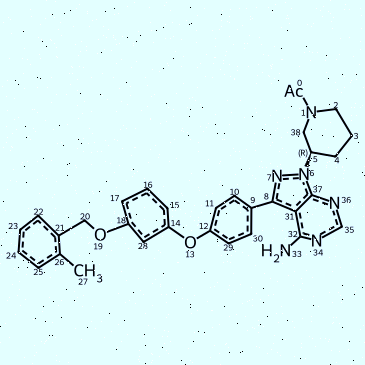 CC(=O)N1CCC[C@@H](n2nc(-c3ccc(Oc4cccc(OCc5ccccc5C)c4)cc3)c3c(N)ncnc32)C1